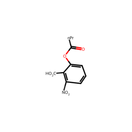 CCCC(=O)Oc1cccc([N+](=O)[O-])c1C(=O)O